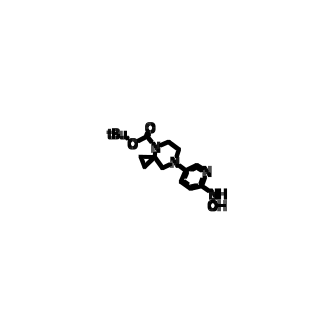 CC(C)(C)OC(=O)N1CCN(c2ccc(NO)nc2)CC12CC2